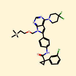 C[Si](C)(C)CCOCn1c(-c2ccc(NC(=O)C3(c4cccc(Br)c4)CC3)cc2)cc2c(N3CCC(F)(F)CC3)ncnc21